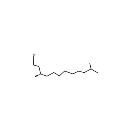 CC(C)CCCCCCC[C@@H](C)CCBr